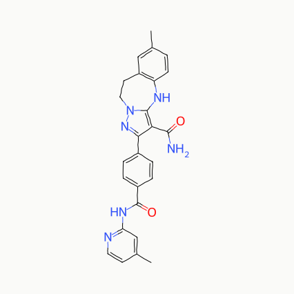 Cc1ccnc(NC(=O)c2ccc(-c3nn4c(c3C(N)=O)Nc3ccc(C)cc3CC4)cc2)c1